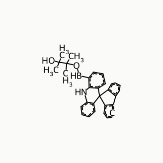 CC(C)(O)C(C)(C)OBc1cccc2c1Nc1ccccc1C21c2ccccc2-c2ccccc21